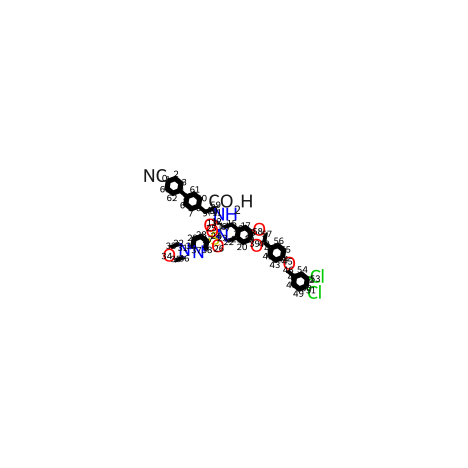 N#Cc1ccc(-c2ccc(C[C@H](NC(=O)[C@@H]3Cc4cc5c(cc4CN3S(=O)(=O)c3ccc(N4CCOCC4)nc3)OC(c3ccc(OCc4ccc(Cl)c(Cl)c4)cc3)CO5)C(=O)O)cc2)cc1